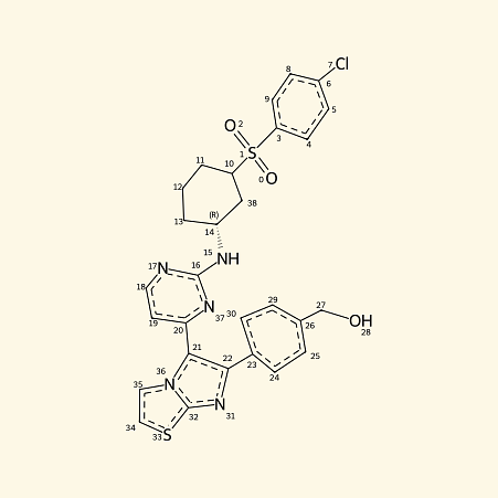 O=S(=O)(c1ccc(Cl)cc1)C1CCC[C@@H](Nc2nccc(-c3c(-c4ccc(CO)cc4)nc4sccn34)n2)C1